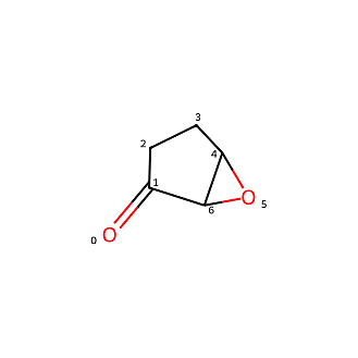 O=C1CCC2OC12